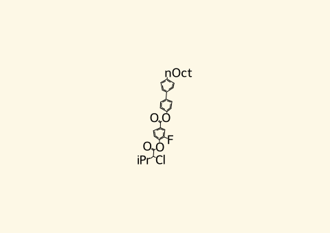 CCCCCCCCc1ccc(-c2ccc(OC(=O)c3ccc(OC(=O)C(Cl)C(C)C)c(F)c3)cc2)cc1